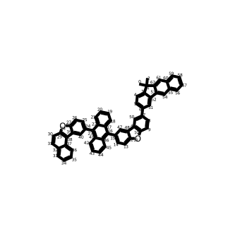 CC1(C)c2ccc(-c3ccc4oc5ccc(-c6c7ccccc7c(-c7ccc8oc9ccc%10ccccc%10c9c8c7)c7ccccc67)cc5c4c3)cc2-c2cc3ccccc3cc21